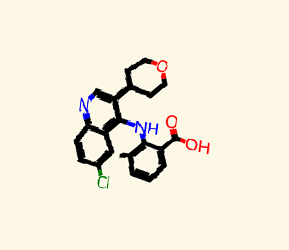 Cc1cccc(C(=O)O)c1Nc1c(C2CCOCC2)cnc2ccc(Cl)cc12